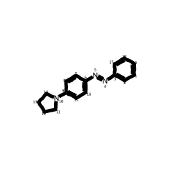 c1ccc(N=Nc2ccc(N3CCCC3)cc2)cc1